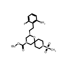 CC(C)(C)OC(=O)N1C[C@@H](CCc2c(N)cccc2F)OC2(CCN(S(C)(=O)=O)CC2)C1